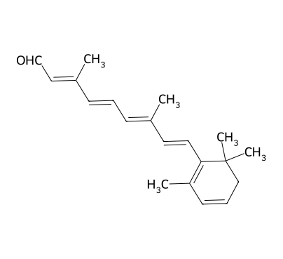 CC1=C(/C=C/C(C)=C/C=C/C(C)=C/C=O)C(C)(C)CC=C1